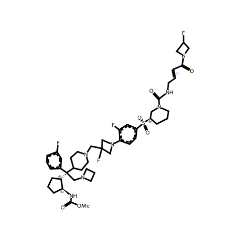 COC(=O)N[C@H]1CCC[C@@H]1C(CN1CCC1)(c1cccc(F)c1)C1CCN(CC2(F)CN(c3ccc(S(=O)(=O)[C@@H]4CCCN(C(=O)NC/C=C/C(=O)N5CC(F)C5)C4)cc3F)C2)CC1